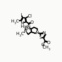 COC(=O)c1cnc(N2CCC(NC(=O)c3[nH]c(C)c(I)c3Cl)C(CN(C)C)C2)s1